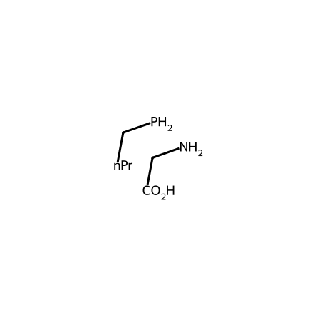 CCCCP.NCC(=O)O